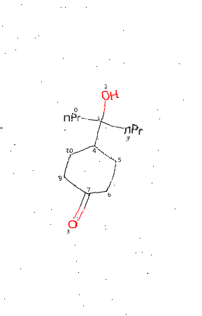 CCCC(O)(CCC)C1CCC(=O)CC1